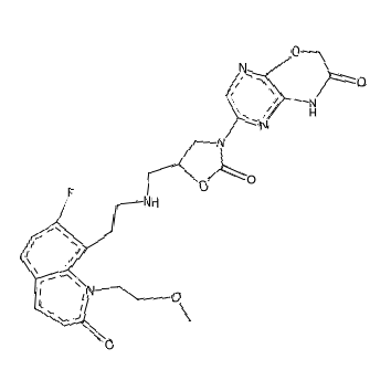 COCCn1c(=O)ccc2ccc(F)c(CCNCC3CN(c4cnc5c(n4)NC(=O)CO5)C(=O)O3)c21